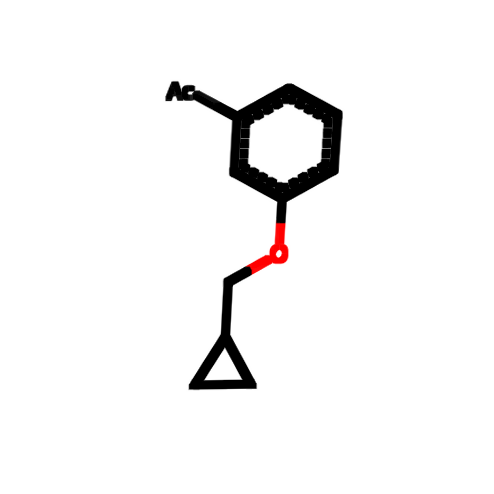 CC(=O)c1cccc(OCC2CC2)c1